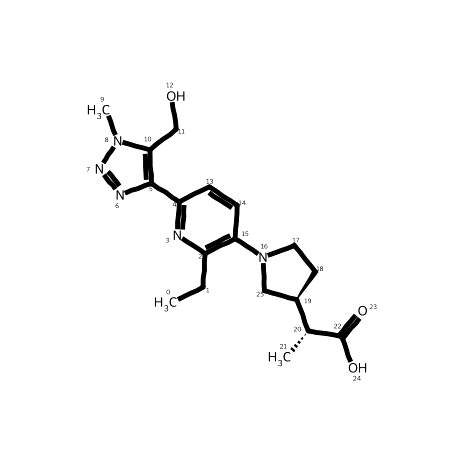 CCc1nc(-c2nnn(C)c2CO)ccc1N1CC[C@@H]([C@@H](C)C(=O)O)C1